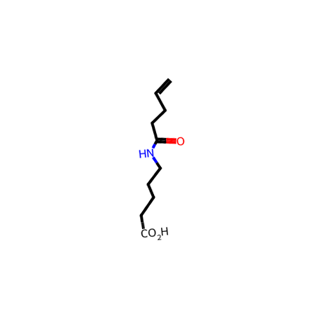 C=CCCC(=O)NCCCCC(=O)O